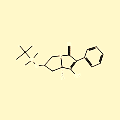 CC(C)(C)[Si](C)(C)O[C@@H]1C[C@@H]2C(O)=C(c3ccccc3)C(=O)N2C1